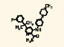 CN1CCN(c2ccc(Nc3cc(C(C)(C)c4cccc(F)c4)cnc3C(N)=O)cc2)CC1